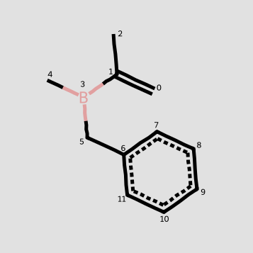 C=C(C)B(C)Cc1ccccc1